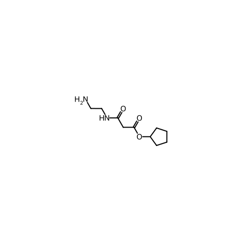 NCCNC(=O)CC(=O)OC1CCCC1